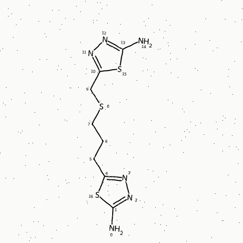 Nc1nnc(CCCSCc2nnc(N)s2)s1